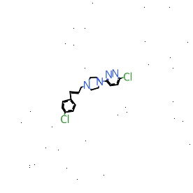 Clc1ccc(/C=C/CN2CCN(c3ccc(Cl)nn3)CC2)cc1